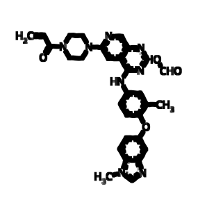 C=CC(=O)N1CCN(c2cc3c(Nc4ccc(Oc5ccc6c(c5)ncn6C)c(C)c4)ncnc3cn2)CC1.O=CO